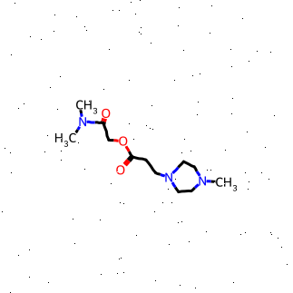 CN1CCN(CCC(=O)OCC(=O)N(C)C)CC1